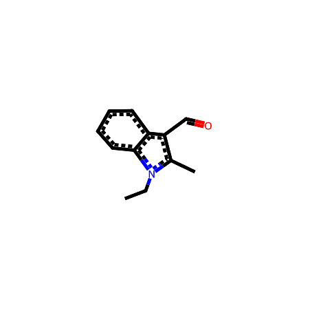 CCn1c(C)c(C=O)c2ccccc21